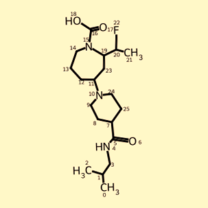 CC(C)CNC(=O)C1CCN(C2CCCN(C(=O)O)C(C(C)F)C2)CC1